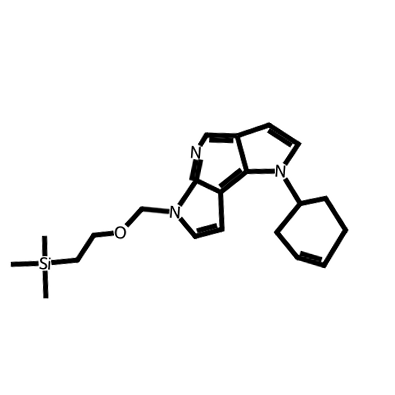 C[Si](C)(C)CCOCn1ccc2c1ncc1ccn(C3CC=CCC3)c12